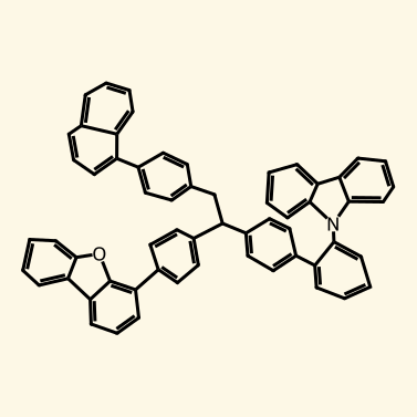 c1ccc(-n2c3ccccc3c3ccccc32)c(-c2ccc(C(Cc3ccc(-c4cccc5ccccc45)cc3)c3ccc(-c4cccc5c4oc4ccccc45)cc3)cc2)c1